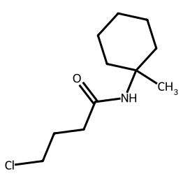 CC1(NC(=O)CCCCl)CCCCC1